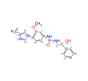 COc1cc(NC(=O)NC[C@H](O)c2ccccc2)ccc1-n1cnc(C)c1